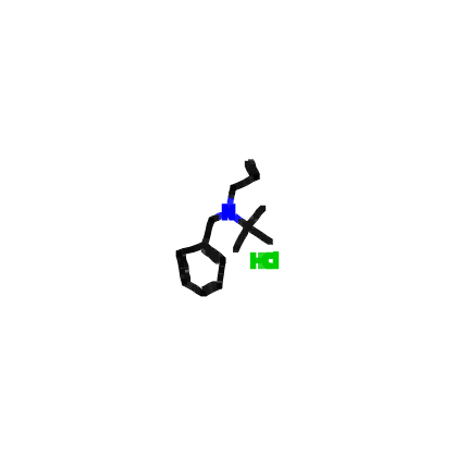 C=CCN(Cc1ccccc1)C(C)(C)C.Cl